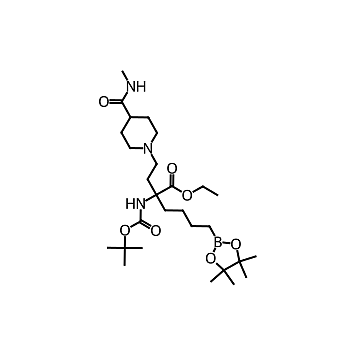 CCOC(=O)C(CCCCB1OC(C)(C)C(C)(C)O1)(CCN1CCC(C(=O)NC)CC1)NC(=O)OC(C)(C)C